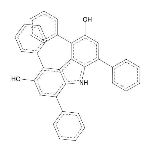 Oc1cc(-c2ccccc2)c2[nH]c3c(-c4ccccc4)cc(O)c(-c4ccccc4)c3c2c1-c1ccccc1